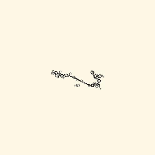 C[C@@H](NC(=O)c1cccc(NC2(c3nnc(-c4ccncc4)[nH]3)CCNCC2)c1)c1ccc(OCCCCCCOCCOCCOCCCC(=O)N2CCN(c3cc4c(cc3F)C(=O)N(C3CCC(=O)NC3=O)C4=O)CC2)cc1.Cl